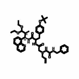 C=CCN(CC(=O)NC(Cc1ccc(OC(C)(C)C)cc1)C(=O)N[C@H](c1cccc2cccnc12)[C@H](C)C(OCC)OCC)NC(=O)NCc1ccccc1